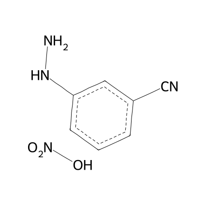 N#Cc1cccc(NN)c1.O=[N+]([O-])O